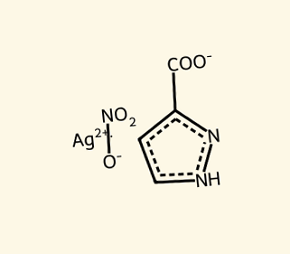 O=C([O-])c1cc[nH]n1.O=[N+]([O-])[O-].[Ag+2]